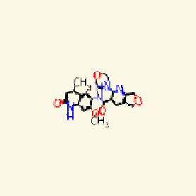 COc1cc2[nH]c(=O)cc(C)c2cc1NC(=O)c1cc2c(nc1N1CCOCC1)COC2